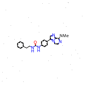 CNc1nccn2c(-c3ccc(NC(=O)NCCc4ccccc4)cc3)cnc12